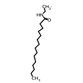 [CH2]CNC(=O)CCCCCCCCCCCCCC